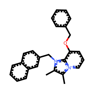 Cc1c(C)[n+]2cccc(OCc3ccccc3)c2n1Cc1ccc2ccccc2c1